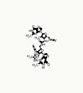 Cc1nc2c(ncn2[C@@H]2O[C@H](CN=[N+]=[N-])[C@H](NC(=S)NC[C@H]3O[C@@H](n4cnc5c(=O)[nH]c(C)nc54)[C@@H](O[Si](C)(C)C(C)(C)C)C3N=C=S)C2C)c(=O)[nH]1